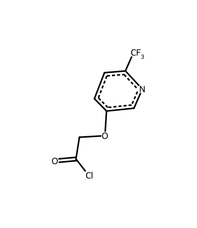 O=C(Cl)COc1ccc(C(F)(F)F)nc1